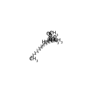 CCCCCCCCCCCCCCCCCCC(COC(C)=O)(COC(C)=O)N(C)C